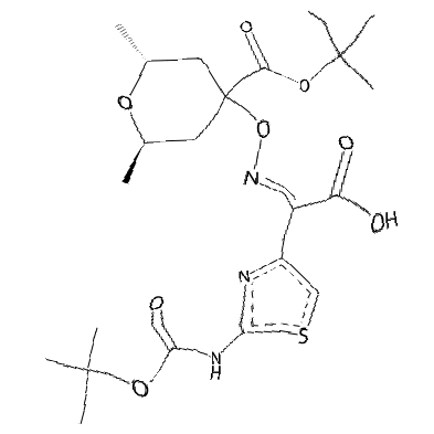 C[C@@H]1CC(O/N=C(\C(=O)O)c2csc(NC(=O)OC(C)(C)C)n2)(C(=O)OC(C)(C)C)C[C@@H](C)O1